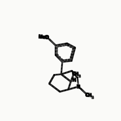 COc1cccc(C23CCCC([C@@H]2C)N(C)CC3)c1